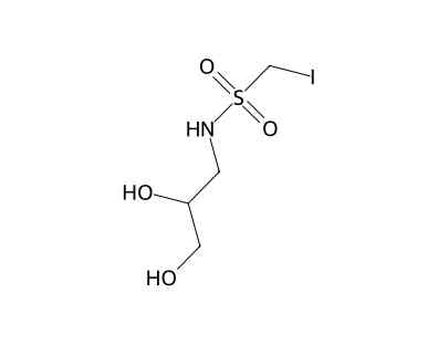 O=S(=O)(CI)NCC(O)CO